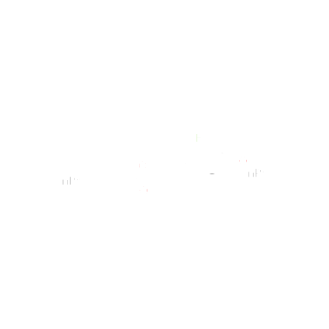 CCCOc1ccc(-c2ccc3c(c2)COC(C2CCC(CCC)CC2)O3)c(F)c1